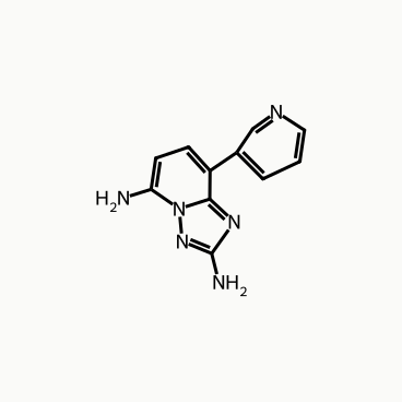 Nc1nc2c(-c3cccnc3)ccc(N)n2n1